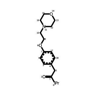 CC(C)C(=O)Cc1ccc(OCCN2CCOCC2)cc1